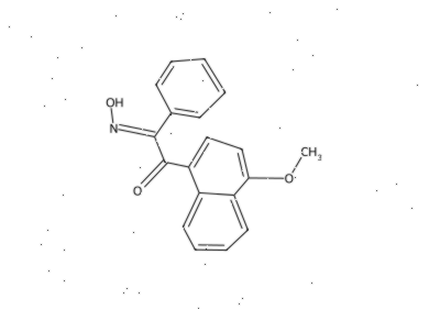 COc1ccc(C(=O)/C(=N/O)c2ccccc2)c2ccccc12